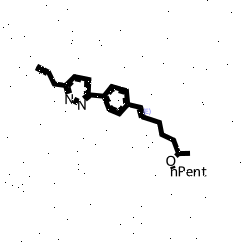 C=CCc1ccc(-c2ccc(/C=C/CCCC(C)OCCCCC)cc2)nn1